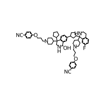 N#Cc1ccc(OCCCN2CCC(C3(C4CCCC4)CNC(O)c4cc(C5CCC(C6(C7CCN(CCCOc8ccc(C#N)cc8)CC7)NCCc7ccc(F)cc76)C5)ccc43)CC2)cc1